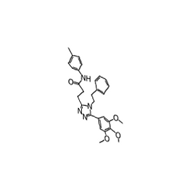 COc1cc(-c2nnc(CCC(=O)Nc3ccc(C)cc3)n2CCc2ccccc2)cc(OC)c1OC